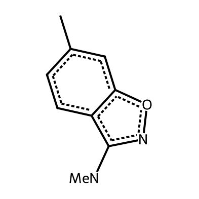 CNc1noc2cc(C)ccc12